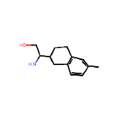 Cc1ccc2c(c1)CCC(C(N)CO)C2